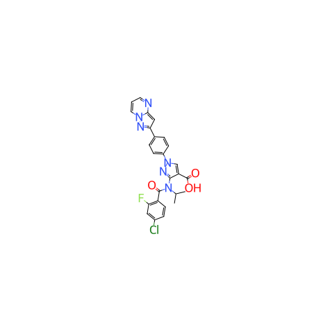 CC(C)N(C(=O)c1ccc(Cl)cc1F)c1nn(-c2ccc(-c3cc4ncccn4n3)cc2)cc1C(=O)O